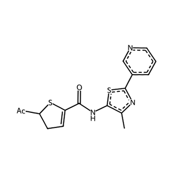 CC(=O)C1CC=C(C(=O)Nc2sc(-c3cccnc3)nc2C)S1